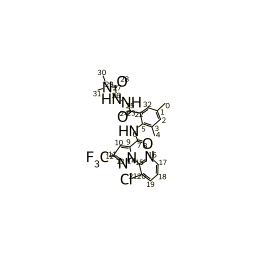 Cc1cc(C)c(NC(=O)c2cc(C(F)(F)F)nn2-c2ncccc2Cl)c(C(=O)NNC(=O)N(C)C)c1